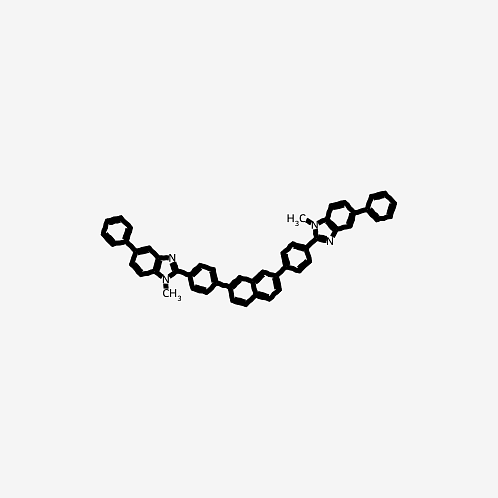 Cn1c(-c2ccc(-c3ccc4ccc(-c5ccc(-c6nc7cc(-c8ccccc8)ccc7n6C)cc5)cc4c3)cc2)nc2cc(-c3ccccc3)ccc21